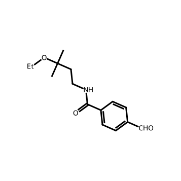 CCOC(C)(C)CCNC(=O)c1ccc(C=O)cc1